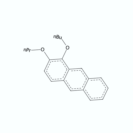 CCCCOc1c(OCCC)ccc2cc3ccccc3cc12